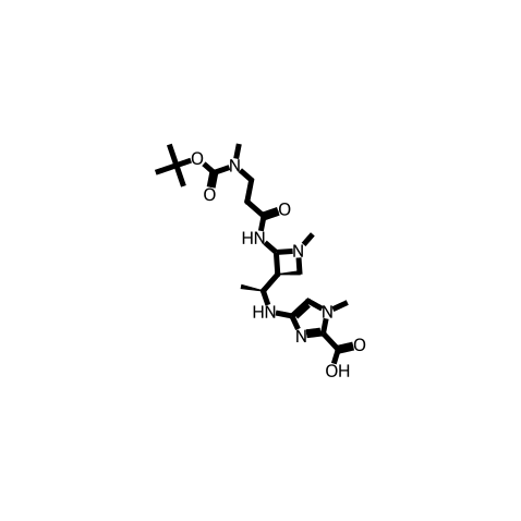 C[C@H](Nc1cn(C)c(C(=O)O)n1)[C@@H]1CN(C)C1NC(=O)CCN(C)C(=O)OC(C)(C)C